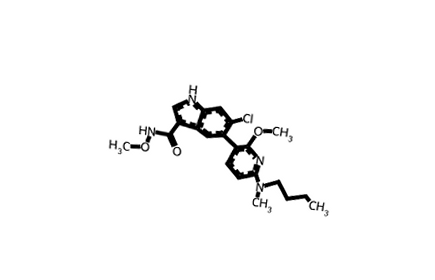 CCCCN(C)c1ccc(-c2cc3c(C(=O)NOC)c[nH]c3cc2Cl)c(OC)n1